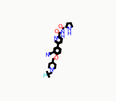 CC(C)(F)CN1CCC(COc2ccc(-c3ccc(C(=O)NC(=O)[C@@H]4CCCN4)nc3)cc2C#N)CC1